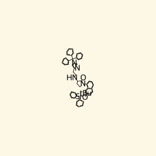 CC(C)(C)[Si](Oc1ccc2cccc(N3CCC(NCCc4cn(C(c5ccccc5)(c5ccccc5)c5ccccc5)cn4)C3=O)c2c1)(c1ccccc1)c1ccccc1